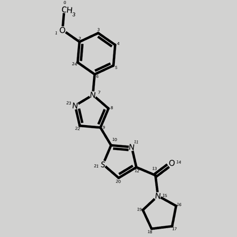 COc1cccc(-n2cc(-c3nc(C(=O)N4CCCC4)cs3)cn2)c1